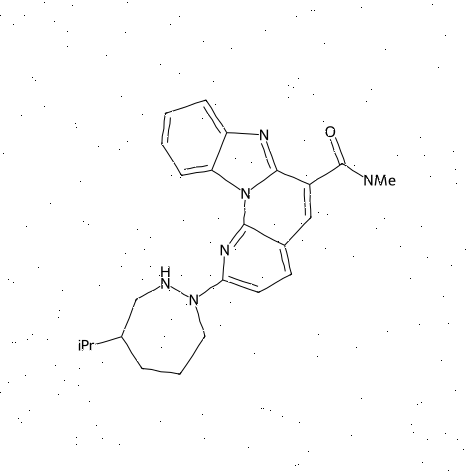 CNC(=O)c1cc2ccc(N3CCCC(C(C)C)CN3)nc2n2c1nc1ccccc12